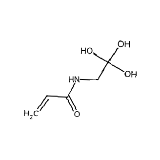 C=CC(=O)NCC(O)(O)O